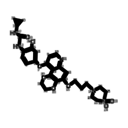 O=C(Nc1ccc(Oc2ccnc3cc(OCCCN4CCS(=O)(=O)CC4)c4c(c23)OCCO4)cc1Cl)NC1CC1